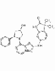 CC1(C)C(=O)Nc2cc(Nc3nc4c(N5C[C@H](O)C[C@@H]5c5ccccc5)nccn4n3)ccc21